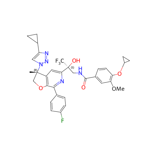 COc1cc(C(=O)NC[C@](O)(c2cc3c(c(-c4ccc(F)cc4)n2)OC[C@]3(C)n2cc(C3CC3)nn2)C(F)(F)F)ccc1OC1CC1